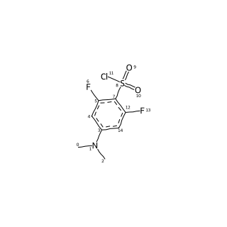 CN(C)c1cc(F)c(S(=O)(=O)Cl)c(F)c1